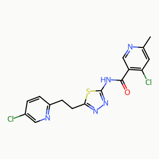 Cc1cc(Cl)c(C(=O)Nc2nnc(CCc3ccc(Cl)cn3)s2)cn1